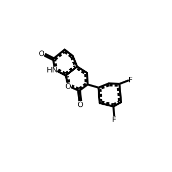 O=c1ccc2cc(-c3cc(F)cc(F)c3)c(=O)oc2[nH]1